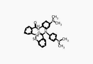 CN(C)c1ccc(NC(=O)c2ccccc2[Se][Se]c2ccccc2C(=O)Nc2ccc(N(C)C)cc2)cc1